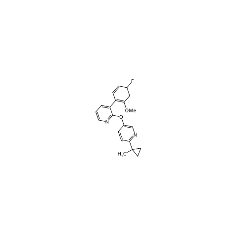 COC1=C(c2cccnc2Oc2cnc(C3(C)CC3)nc2)C=CC(F)C1